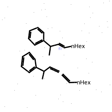 C=CC(C)c1ccccc1.C=CCCCCCC.CCCCCC/C=C/C(C)c1ccccc1